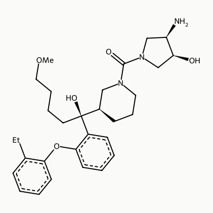 CCc1ccccc1Oc1ccccc1[C@](O)(CCCCOC)[C@@H]1CCCN(C(=O)N2C[C@@H](N)[C@@H](O)C2)C1